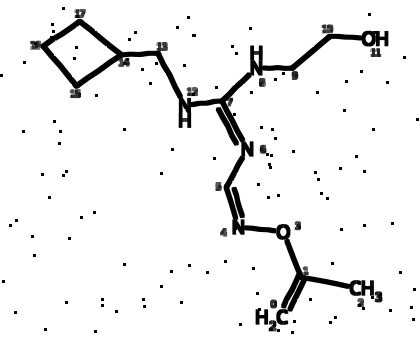 C=C(C)O/N=C\N=C(\NCCO)NCC1CCC1